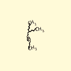 CCCCCC(CCCCC)CCCN1CCN(CCCCC)CC1